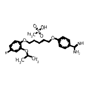 CC(C)Oc1cc(F)ccc1OCCCCCOc1ccc(C(=N)N)cc1.CS(=O)(=O)O